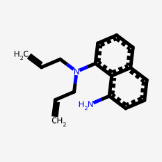 C=CCN(CC=C)c1cccc2cccc(N)c12